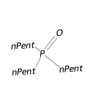 CCCCCP(=O)(CCCCC)CCCCC